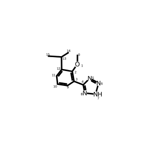 COc1c(-c2nn[nH]n2)cccc1C(C)C